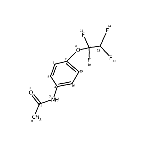 CC(=O)Nc1ccc(OC(F)(F)C(F)F)cc1